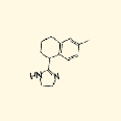 Cc1ccc2c(c1)CCCC2C1=NCCN1